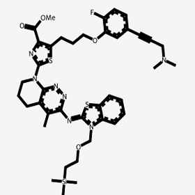 COC(=O)c1nc(N2CCCc3c2nnc(/N=c2\sc4ccccc4n2COCC[Si](C)(C)C)c3C)sc1CCCOc1cc(C#CCN(C)C)ccc1F